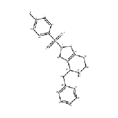 Cc1ccc(S(=O)(=O)N2CC3=C(C2)C(Cc2ccccc2)NCC3)cc1